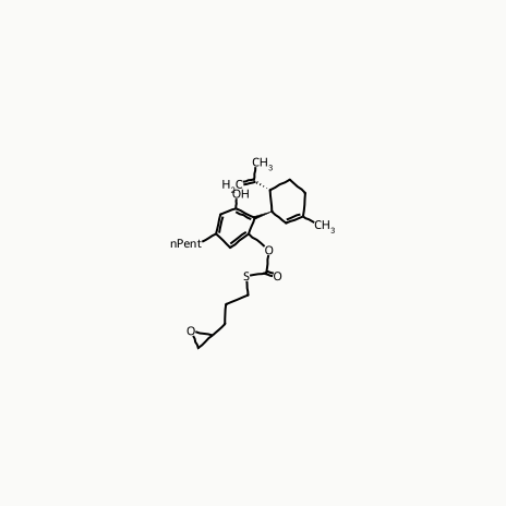 C=C(C)[C@@H]1CCC(C)=C[C@H]1c1c(O)cc(CCCCC)cc1OC(=O)SCCCC1CO1